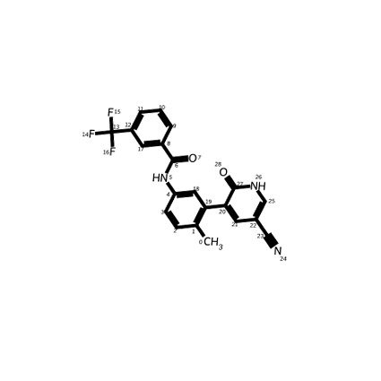 Cc1ccc(NC(=O)c2cccc(C(F)(F)F)c2)cc1-c1cc(C#N)c[nH]c1=O